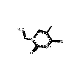 C=Cn1cc(I)c(=O)[nH]c1=O